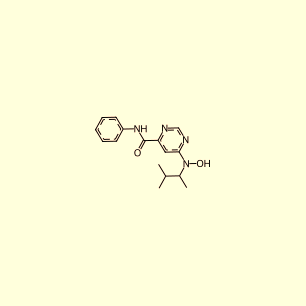 CC(C)C(C)N(O)c1cc(C(=O)Nc2ccccc2)ncn1